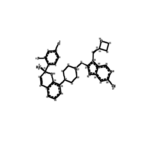 C[C@]1(c2ccc(Cl)cc2F)C=Cc2cccc(C3CCN(Cc4nc5cc(C#N)ncc5n4C[C@@H]4CCO4)CC3)c2O1